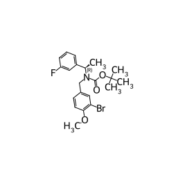 COc1ccc(CN(C(=O)OC(C)(C)C)[C@H](C)c2cccc(F)c2)cc1Br